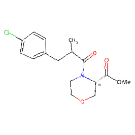 COC(=O)[C@@H]1COCCN1C(=O)C(C)Cc1ccc(Cl)cc1